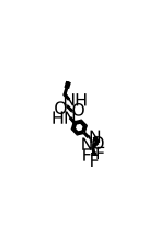 C#CCNC(=O)C(=O)Nc1ccc(-c2noc(C(F)(F)F)n2)cc1